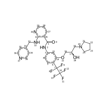 O=C(Nc1ccc(C(F)(F)C(F)(F)F)c(OC[C@H](O)CN2CCCC2)c1)c1cccnc1NCc1ccncc1